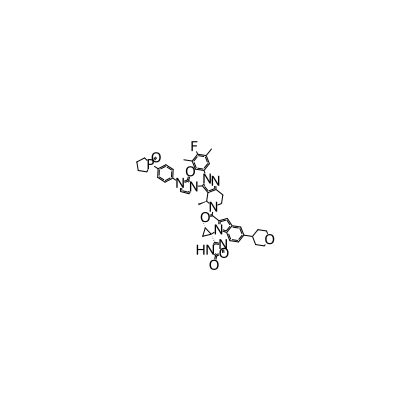 Cc1cc(-n2nc3c(c2-n2ccn(-c4ccc(P5(=O)CCCC5)cc4)c2=O)[C@H](C)N(C(=O)c2cc4cc(C5CCOCC5)ccc4n2[C@@]2(c4noc(=O)[nH]4)C[C@@H]2C)CC3)cc(C)c1F